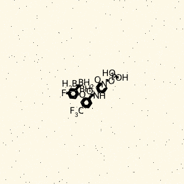 BC(B)(B)c1cc(F)ccc1Oc1cc(C(F)(F)F)ccc1C(=O)Nc1ccn(COP(O)O)c(=O)c1